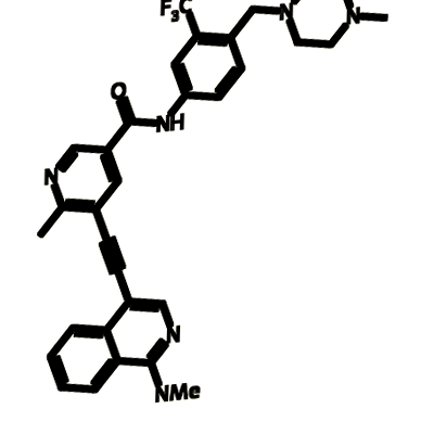 CNc1ncc(C#Cc2cc(C(=O)Nc3ccc(CN4CCN(C)CC4)c(C(F)(F)F)c3)cnc2C)c2ccccc12